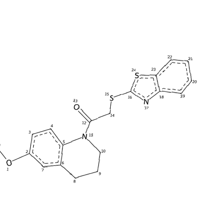 COc1ccc2c(c1)CCCN2C(=O)CSc1nc2ccccc2s1